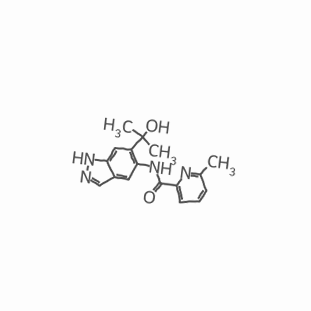 Cc1cccc(C(=O)Nc2cc3cn[nH]c3cc2C(C)(C)O)n1